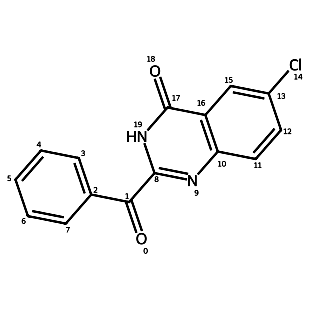 O=C(c1ccccc1)c1nc2ccc(Cl)cc2c(=O)[nH]1